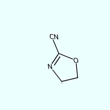 N#CC1=N[CH]CO1